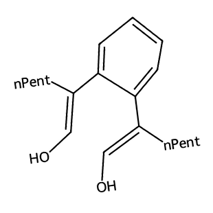 CCCCCC(=CO)c1ccccc1C(=CO)CCCCC